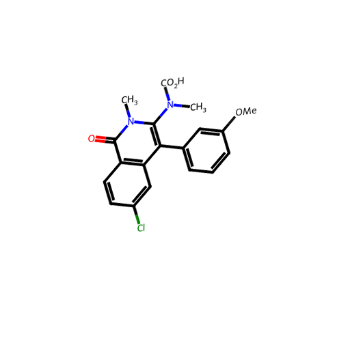 COc1cccc(-c2c(N(C)C(=O)O)n(C)c(=O)c3ccc(Cl)cc23)c1